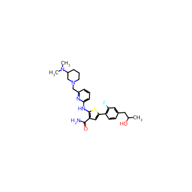 CC(O)Cc1ccc(-c2cc(C(N)=O)c(Nc3cccc(CN4CCCC(N(C)C)C4)n3)s2)c(F)c1